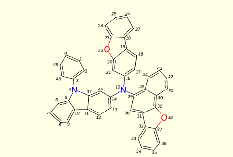 c1ccc(-n2c3ccccc3c3ccc(N(c4ccc5c(c4)oc4ccccc45)c4cc5c6ccccc6oc5c5ccccc45)cc32)cc1